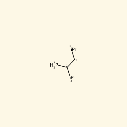 CC(C)CC(P)C(C)C